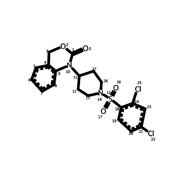 O=C1OCc2ccccc2N1C1CCN(S(=O)(=O)c2ccc(Cl)cc2Cl)CC1